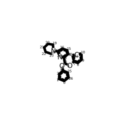 c1ccc(OC(Oc2ccccc2)c2cccc(N3CCCCC3)n2)cc1